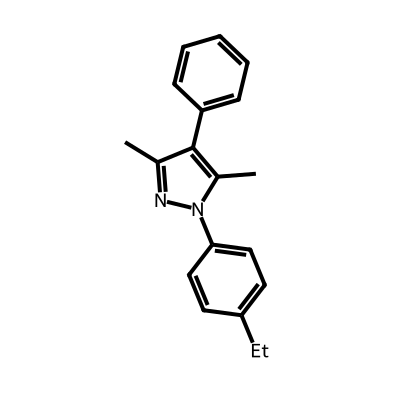 [CH2]Cc1ccc(-n2nc(C)c(-c3ccccc3)c2C)cc1